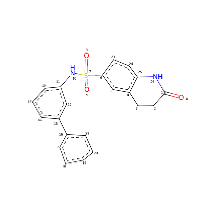 O=C1CCc2cc(S(=O)(=O)Nc3cccc(-c4ccccc4)c3)ccc2N1